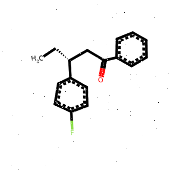 CC[C@H](CC(=O)c1ccccc1)c1ccc(F)cc1